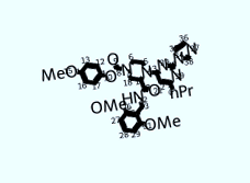 CCCc1cc(N2CCN(C(=O)Oc3ccc(OC)cc3)CC2C(=O)NCc2c(OC)cccc2OC)nc(-n2ccnc2)n1